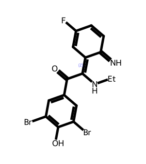 CCN/C(C(=O)c1cc(Br)c(O)c(Br)c1)=C1/C=C(F)C=CC1=N